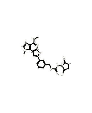 CNc1nc2[nH]c(-c3cccc(COC(=O)ON4C(=O)CCC4=O)c3)cc2c2c1ncn2C